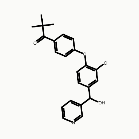 CC(C)(C)C(=O)c1ccc(Oc2ccc(C(O)c3cccnc3)cc2Cl)cc1